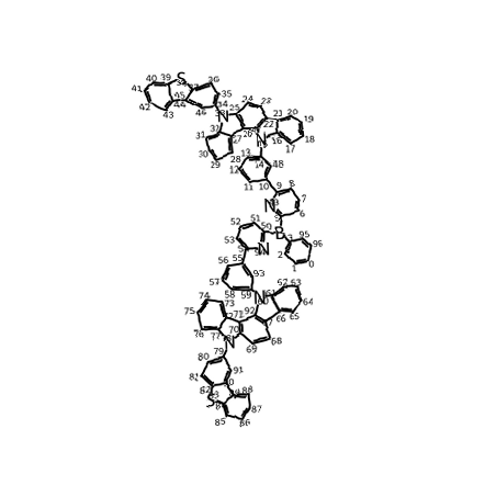 c1ccc(B(c2cccc(-c3cccc(-n4c5ccccc5c5ccc6c(c7ccccc7n6-c6ccc7sc8ccccc8c7c6)c54)c3)n2)c2cccc(-c3cccc(-n4c5ccccc5c5ccc6c(c7ccccc7n6-c6ccc7sc8ccccc8c7c6)c54)c3)n2)cc1